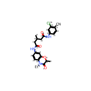 CCN1C(=O)C(C)Oc2cc(NC(=O)CC(C)CC(=O)Nc3ccc(C#N)c(Cl)c3)ccc21